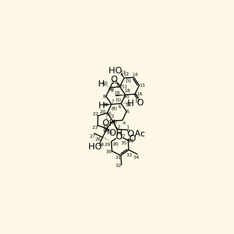 CC(=O)OCC[C@]12CC[C@H]3[C@@H](C[C@H]4O[C@]45[C@@H](O)C=CC(=O)[C@]35C)[C@]1(O)CC[C@@]2(O)C(C)(O)[C@H]1CC(C)=C(C)C(=O)O1